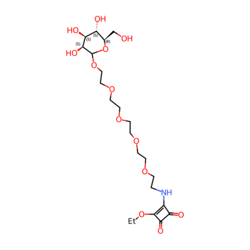 CCOc1c(NCCOCCOCCOCCOCCOC2O[C@H](CO)[C@@H](O)[C@H](O)[C@@H]2O)c(=O)c1=O